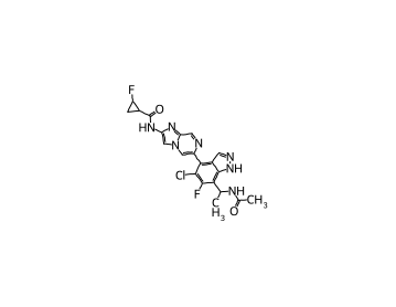 CC(=O)NC(C)c1c(F)c(Cl)c(-c2cn3cc(NC(=O)C4CC4F)nc3cn2)c2cn[nH]c12